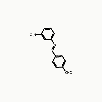 O=Cc1ccc(N=Nc2cccc([N+](=O)[O-])c2)cc1